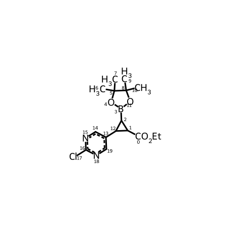 CCOC(=O)C1C(B2OC(C)(C)C(C)(C)O2)C1c1cnc(Cl)nc1